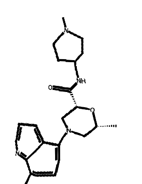 Cc1ccc(N2C[C@@H](C)O[C@@H](C(=O)NC3CCN(C)CC3)C2)c2cccnc12